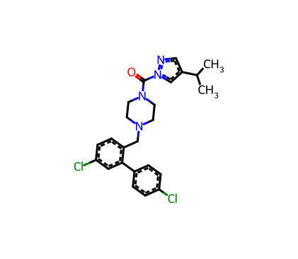 CC(C)c1cnn(C(=O)N2CCN(Cc3ccc(Cl)cc3-c3ccc(Cl)cc3)CC2)c1